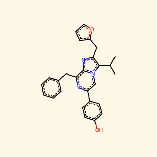 CC(C)c1c(Cc2ccco2)nc2c(Cc3ccccc3)nc(-c3ccc(O)cc3)cn12